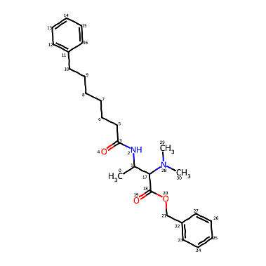 CC(NC(=O)CCCCCCc1ccccc1)C(C(=O)OCc1ccccc1)N(C)C